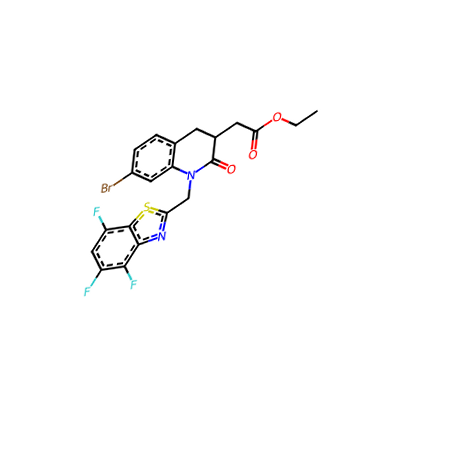 CCOC(=O)CC1Cc2ccc(Br)cc2N(Cc2nc3c(F)c(F)cc(F)c3s2)C1=O